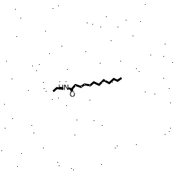 CCCCCCCCCCCC(=O)NCCC